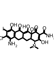 CN(C)[C@@H]1C(O)=C(C(N)=O)C(=O)[C@@]2(O)C(O)=C3C(=O)c4c(O)c(I)c(Cl)c(N)c4CC3CC12